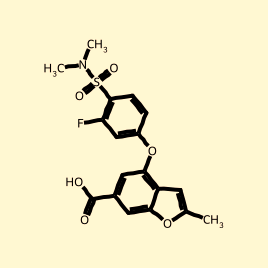 Cc1cc2c(Oc3ccc(S(=O)(=O)N(C)C)c(F)c3)cc(C(=O)O)cc2o1